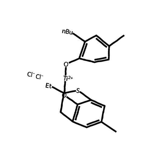 CCCCc1cc(C)ccc1[O][Ti+2][O]c1c2cc(C)cc1SC(CC)C2.[Cl-].[Cl-]